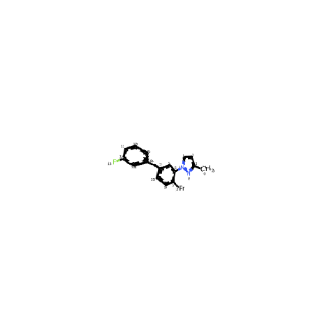 Cc1ccn(-c2cc(-c3cccc(F)c3)ccc2C(C)C)n1